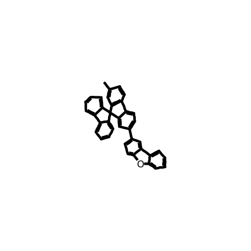 Cc1ccc2c(c1)C1(c3ccccc3-c3ccccc31)c1cc(-c3ccc4oc5ccccc5c4c3)ccc1-2